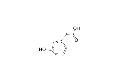 O=C(O)[CH]c1cccc(O)c1